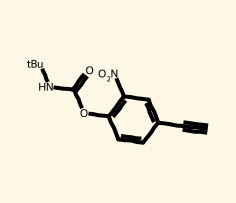 C#Cc1ccc(OC(=O)NC(C)(C)C)c([N+](=O)[O-])c1